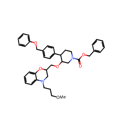 COCCCN1CC(COC2CN(C(=O)OCc3ccccc3)CCC2c2ccc(COc3ccccc3)cc2)Oc2ccccc21